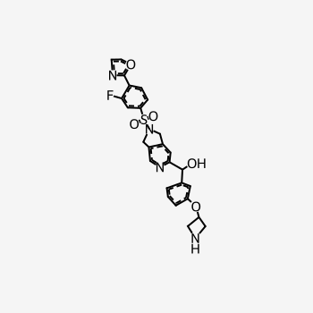 O=S(=O)(c1ccc(-c2ncco2)c(F)c1)N1Cc2cnc(C(O)c3cccc(OC4CNC4)c3)cc2C1